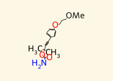 COCCCOc1ccc(C#CC(C)(C)OC(N)=O)cc1